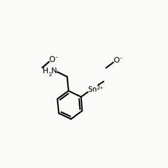 C[O-].C[O-].[CH3][Sn+2][c]1ccccc1CN